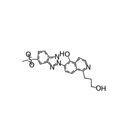 CS(=O)(=O)c1ccc2nn(-c3ccc4c(CCCO)nccc4c3O)nc2c1